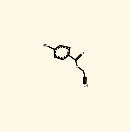 C#CCOC(=O)c1ccc(O)cc1